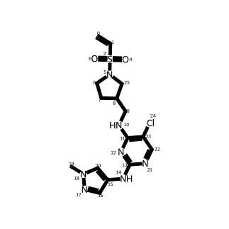 C=CS(=O)(=O)N1CCC(CNc2nc(Nc3cnn(C)c3)ncc2Cl)C1